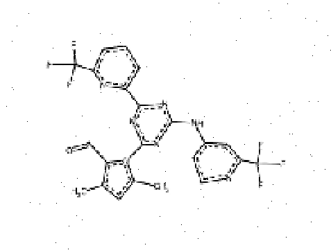 Cc1cc(C)n(-c2nc(Nc3ccnc(C(F)(F)F)c3)nc(-c3cccc(C(F)(F)F)n3)n2)c1C=O